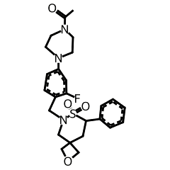 CC(=O)N1CCN(c2ccc(CN3CC4(COC4)CC(c4ccccc4)S3(=O)=O)c(F)c2)CC1